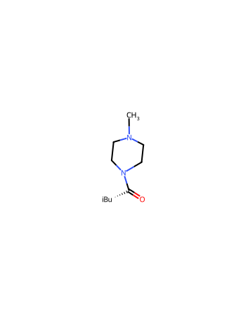 CC[C@@H](C)C(=O)N1CCN(C)CC1